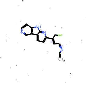 C=C/N=C\C=C(/CF)c1ccc2c(n1)[nH]c1ccncc12